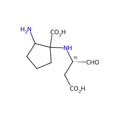 NC1CCCC1(N[C@H](C=O)CC(=O)O)C(=O)O